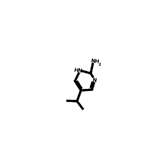 CC(C)C1=CNC(N)N=C1